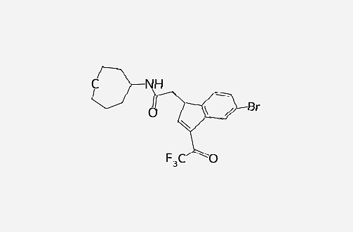 O=C(CC1C=C(C(=O)C(F)(F)F)c2cc(Br)ccc21)NC1CCCCCC1